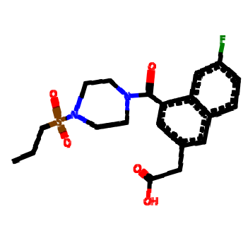 CCCS(=O)(=O)N1CCN(C(=O)c2cc(CC(=O)O)cc3ccc(F)cc23)CC1